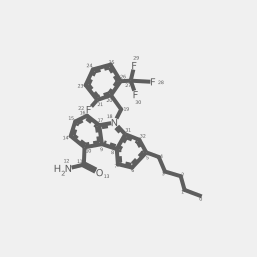 CCCCCc1c[c]c2c3c(C(N)=O)cccc3n(Cc3c(F)cccc3C(F)(F)F)c2c1